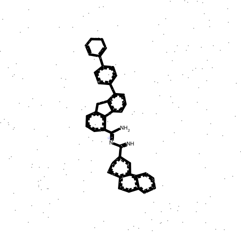 N=C(/N=C(\N)c1cccc2c1-c1cccc(-c3ccc(C4=CCCC=C4)cc3)c1C2)c1ccc2ccc3ccccc3c2c1